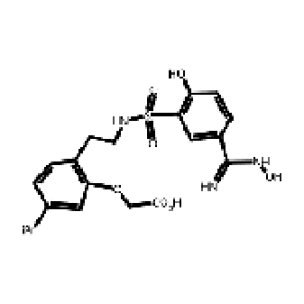 CC(C)c1ccc(CCNS(=O)(=O)c2cc(C(=N)NO)ccc2O)c(OCC(=O)O)c1